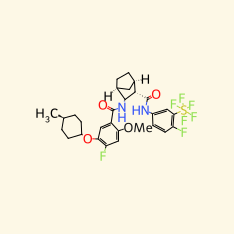 COc1cc(F)c(O[C@H]2CC[C@H](C)CC2)cc1C(=O)N[C@@H]1[C@H]2CC[C@H](C2)[C@@H]1C(=O)Nc1ccc(F)c(S(F)(F)(F)(F)F)c1